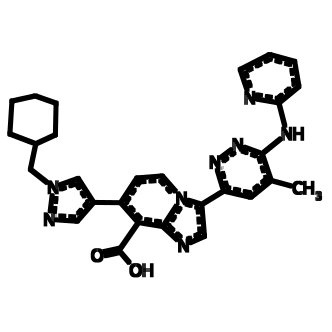 Cc1cc(-c2cnc3c(C(=O)O)c(-c4cnn(CC5CCCCC5)c4)ccn23)nnc1Nc1ccccn1